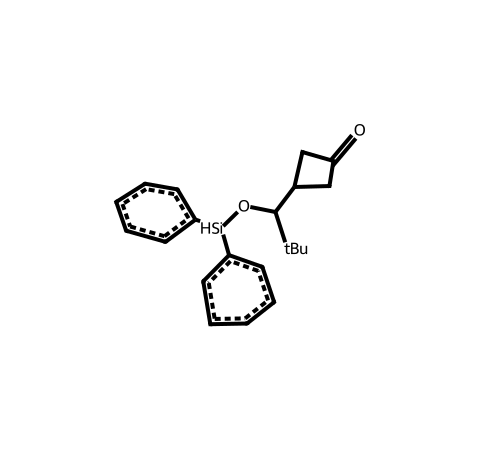 CC(C)(C)C(O[SiH](c1ccccc1)c1ccccc1)C1CC(=O)C1